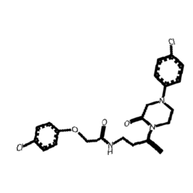 C=C(CCNC(=O)COc1ccc(Cl)cc1)N1CCN(c2ccc(Cl)cc2)CC1=O